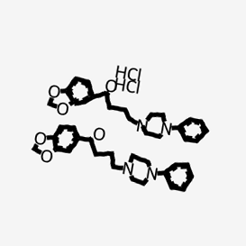 Cl.Cl.O=C(CCCN1CCN(c2ccccc2)CC1)c1ccc2c(c1)OCO2.O=C(CCCN1CCN(c2ccccc2)CC1)c1ccc2c(c1)OCO2